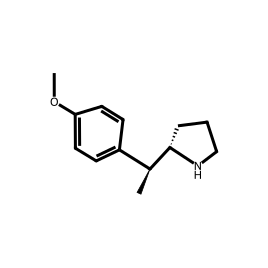 COc1ccc([C@H](C)[C@@H]2CCCN2)cc1